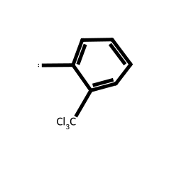 [CH]c1ccccc1C(Cl)(Cl)Cl